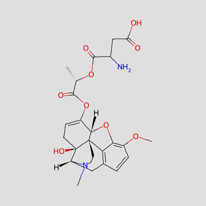 COc1ccc2c3c1O[C@H]1C(OC(=O)[C@H](C)OC(=O)C(N)CC(=O)O)=CC[C@@]4(O)[C@@H](C2)N(C)CC[C@]314